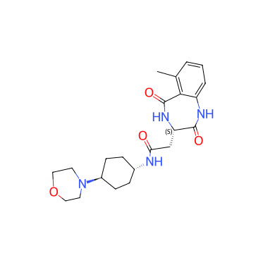 Cc1cccc2c1C(=O)N[C@@H](CC(=O)N[C@H]1CC[C@H](N3CCOCC3)CC1)C(=O)N2